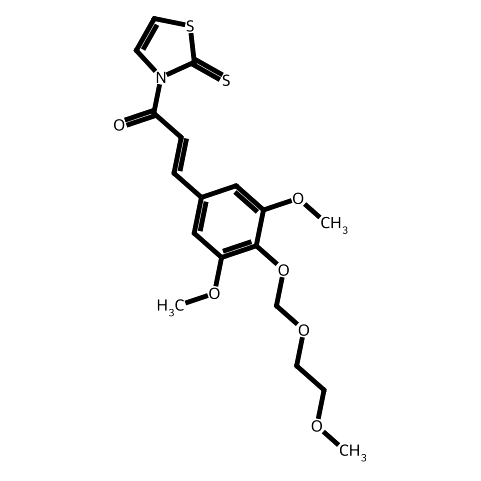 COCCOCOc1c(OC)cc(C=CC(=O)n2ccsc2=S)cc1OC